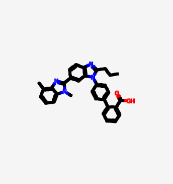 CCCc1nc2ccc(-c3nc4c(C)cccc4n3C)cc2n1-c1ccc(-c2ccccc2C(=O)O)cc1